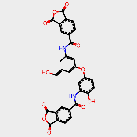 C\C(=C/C(=C\C=C\O)Oc1ccc(O)c(NC(=O)c2ccc3c(c2)C(=O)OC3=O)c1)NC(=O)c1ccc2c(c1)C(=O)OC2=O